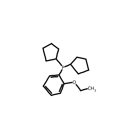 CCOc1ccccc1P(C1CCCC1)C1CCCC1